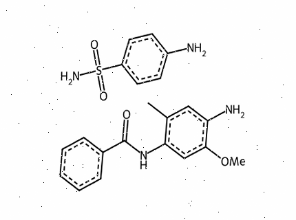 COc1cc(NC(=O)c2ccccc2)c(C)cc1N.Nc1ccc(S(N)(=O)=O)cc1